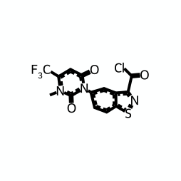 Cn1c(C(F)(F)F)cc(=O)n(-c2ccc3snc(C(=O)Cl)c3c2)c1=O